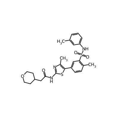 Cc1cccc(NS(=O)(=O)c2cc(-c3sc(NC(=O)CC4CCOCC4)nc3C)ccc2C)c1